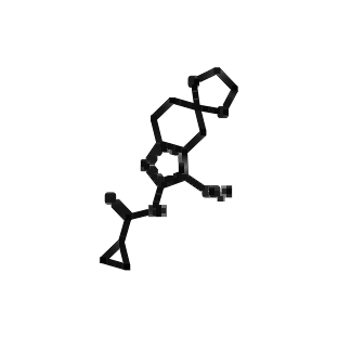 O=C(O)c1c(NC(=O)C2CC2)sc2c1CC1(CC2)OCCO1